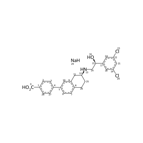 O=C(O)c1ccc(-c2ccc3c(c2)C[C@@H](NC[C@@H](O)c2cc(Cl)cc(Cl)c2)CC3)cc1.[NaH]